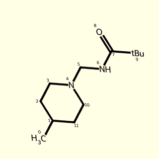 CC1CCN(CNC(=O)C(C)(C)C)CC1